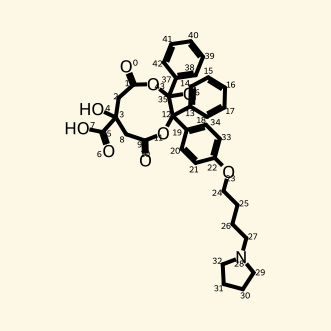 O=C1CC(O)(C(=O)O)CC(=O)OC(c2ccccc2)(c2ccc(OCCCCN3CCCC3)cc2)C(Cl)(c2ccccc2)O1